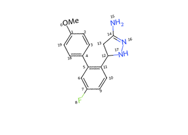 COc1ccc(-c2cc(F)ccc2C2CC(N)=NN2)cc1